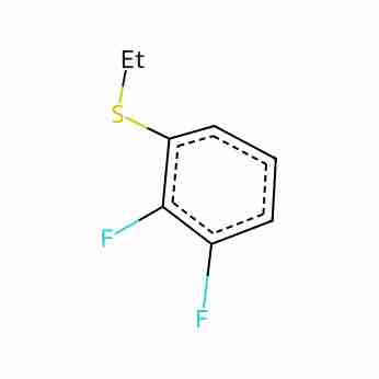 CCSc1cccc(F)c1F